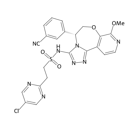 COc1nccc2c1OC[C@@H](c1cccc(C#N)c1)n1c(NS(=O)(=O)CCc3ncc(Cl)cn3)nnc1-2